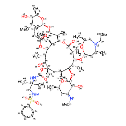 CON=C1C[C@@H](C)O[C@@H](O[C@@H]2[C@@H](C)[C@H](O[C@H]3CC(C)N(CC(C)(C)C)C[C@H](C)O3)[C@@H](C)C(=O)O[C@H](C(C)CO[C@@H]3O[C@H](C)[C@@H](O)[C@@H](OC)[C@H]3OC)[C@H](C)[C@@H](OC(=O)CC(C)C)[C@@H](C)C(=O)[C@@](C)(OC(=O)NC(C)(C)CNS(=O)(=O)c3ccccc3)C[C@@H]2C)[C@@H]1O